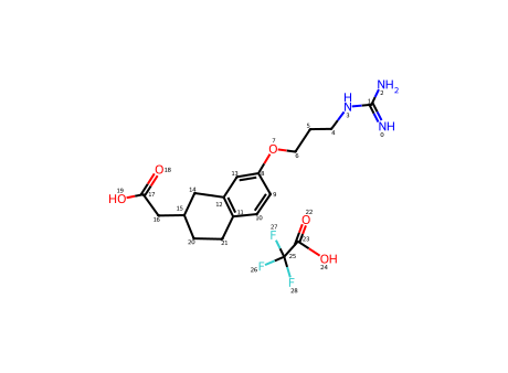 N=C(N)NCCCOc1ccc2c(c1)CC(CC(=O)O)CC2.O=C(O)C(F)(F)F